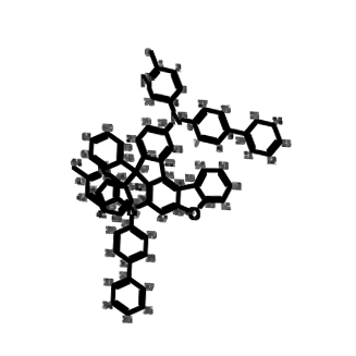 Cc1ccc(N(c2ccc(C3=CC=CCC3)cc2)c2ccc3c(c2)-c2c(c(N(c4ccc(-c5ccccc5)cc4)c4ccc(C)nc4)cc4oc5ccccc5c24)C3(c2ccccc2)c2ccccc2)cn1